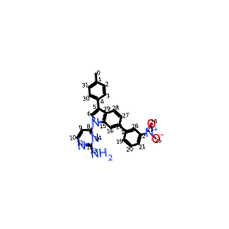 Cc1ccc(-c2cn(-c3ccnc(N)n3)c3cc(-c4cccc([N+](=O)[O-])c4)ccc23)cc1